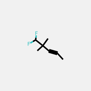 CC#CC(C)(C)C(F)F